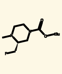 CN1CCN(C(=O)OC(C)(C)C)C[C@@H]1CF